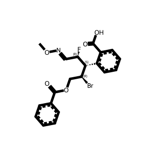 CON=C[C@H](F)[C@H](c1ccccc1C(=O)O)[C@@H](Br)COC(=O)c1ccccc1